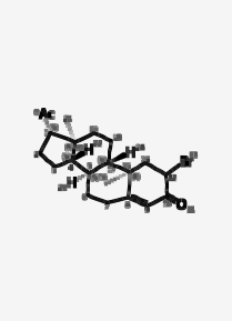 CC(=O)[C@H]1CC[C@H]2[C@@H]3CCC4=CC(=O)C(Br)C[C@]4(C)[C@H]3CC[C@]12C